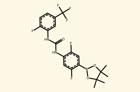 CC1(C)OB(c2cc(F)c(NC(=O)Nc3cc(C(F)(F)F)ccc3F)cc2F)OC1(C)C